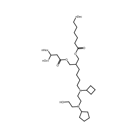 CCCCCCCCCCCCCCCC(=O)OCC(CCCCN(CCN(CCO)C1CCCC1)C1CCC1)COC(=O)CC(CCCCCC)CCCCCCCC